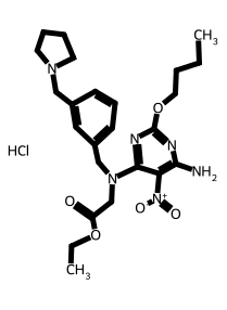 CCCCOc1nc(N)c([N+](=O)[O-])c(N(CC(=O)OCC)Cc2cccc(CN3CCCC3)c2)n1.Cl